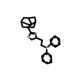 c1ccc(P(CCC2COC(C34CC5CC(CC(C5)C3)C4)=N2)c2ccccc2)cc1